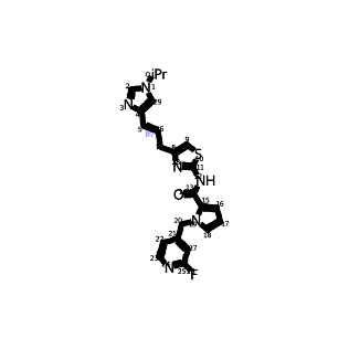 CC(C)n1cnc(/C=C/Cc2csc(NC(=O)c3cccn3Cc3ccnc(F)c3)n2)c1